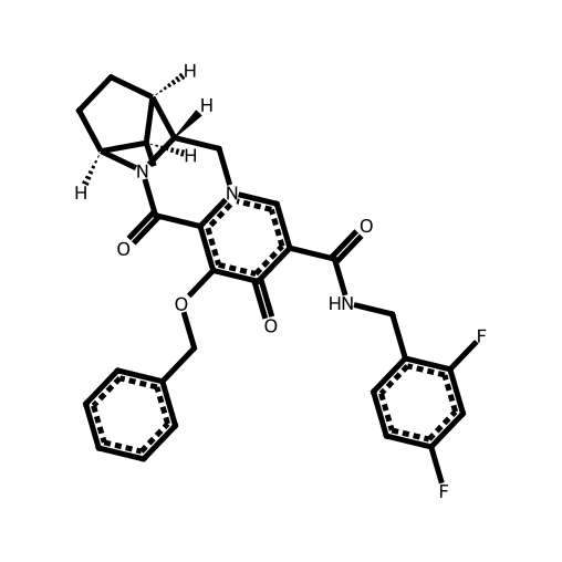 C[C@@H]1[C@H]2CC[C@@H]1N1C(=O)c3c(OCc4ccccc4)c(=O)c(C(=O)NCc4ccc(F)cc4F)cn3C[C@@H]21